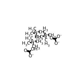 C[N+](C)(C)C.C[N+](C)(C)C.C[N+](C)(C)C.O=C([O-])O.O=C([O-])[O-]